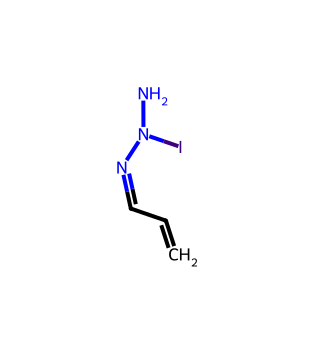 C=C/C=N\N(N)I